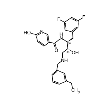 CCc1cccc(CNC[C@@H](O)[C@H](Cc2cc(F)cc(F)c2)NC(=O)c2ccc(O)nc2)c1